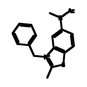 CC(=O)N(C)c1ccc2sc(C)[n+](Cc3ccccc3)c2c1